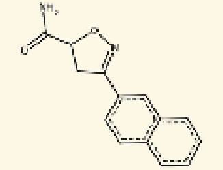 NC(=O)C1CC(c2ccc3ccccc3c2)=NO1